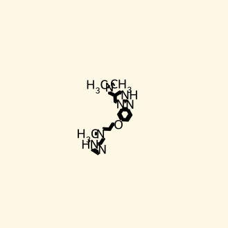 CN(C)CC1CNc2nc3ccc(OCCCN(C)Cc4ncc[nH]4)cc3n2C1